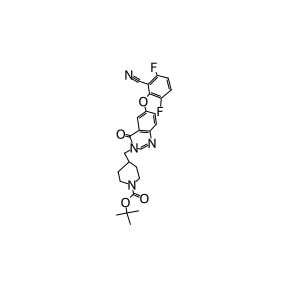 CC(C)(C)OC(=O)N1CCC(Cn2cnc3ccc(Oc4c(F)ccc(F)c4C#N)cc3c2=O)CC1